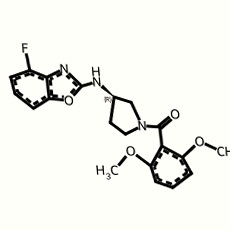 COc1cccc(OC)c1C(=O)N1CC[C@@H](Nc2nc3c(F)cccc3o2)C1